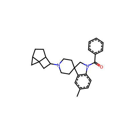 Cc1ccc2c(c1)C1(CCN(C3CC45CC4CCC35)CC1)CN2C(=O)c1ccccc1